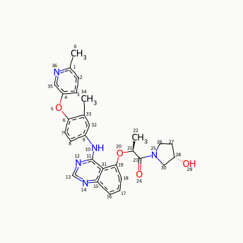 Cc1ccc(Oc2ccc(Nc3ncnc4cccc(O[C@@H](C)C(=O)N5CC[C@H](O)C5)c34)cc2C)cn1